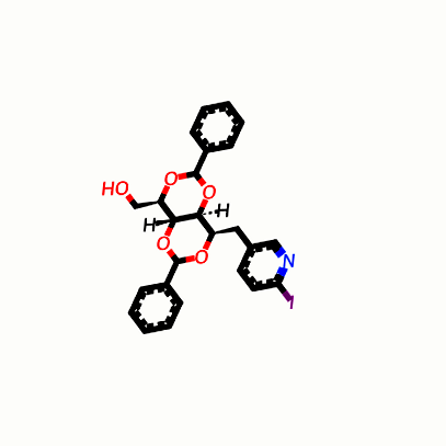 OC[C@H]1OC(c2ccccc2)O[C@@H]2[C@@H]1OC(c1ccccc1)O[C@@H]2Cc1ccc(I)nc1